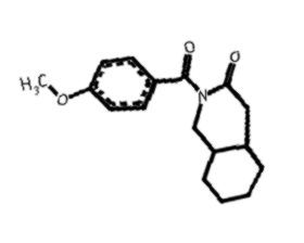 COc1ccc(C(=O)N2CC3CCCCC3CC2=O)cc1